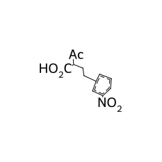 CC(=O)C(CCc1cccc([N+](=O)[O-])c1)C(=O)O